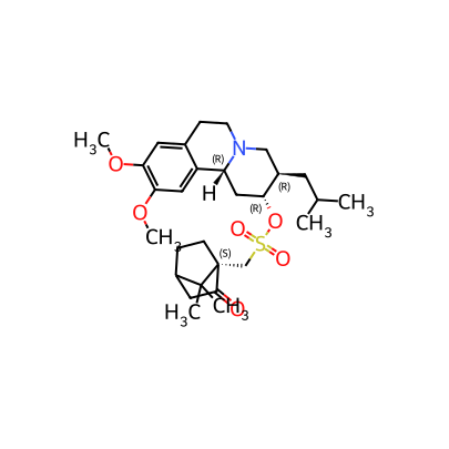 COc1cc2c(cc1OC)[C@H]1C[C@@H](OS(=O)(=O)C[C@]34CCC(CC3=O)C4(C)C)[C@H](CC(C)C)CN1CC2